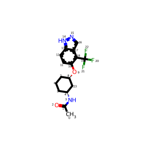 CC(=O)N[C@@H]1CCC[C@H](Oc2ccc3[nH]ncc3c2C(F)(F)F)C1